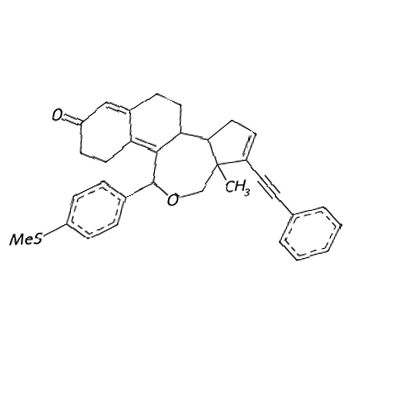 CSc1ccc(C2OCC3(C)C(C#Cc4ccccc4)=CCC3C3CCC4=CC(=O)CCC4=C23)cc1